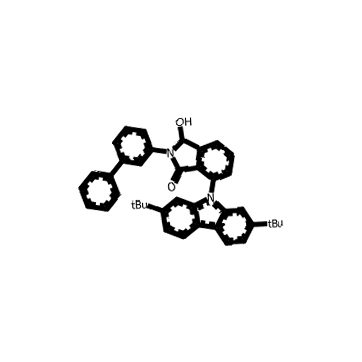 CC(C)(C)c1ccc2c3ccc(C(C)(C)C)cc3n(-c3cccc4c3C(=O)N(c3cccc(-c5ccccc5)c3)C4O)c2c1